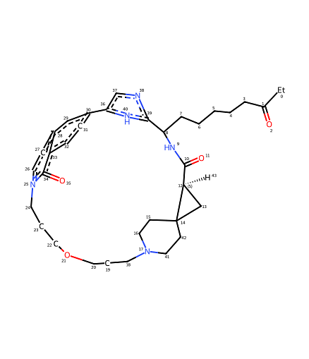 CCC(=O)CCCCCC1NC(=O)[C@H]2CC23CCN(CCCOCCCn2ccc4cc(ccc4c2=O)-c2cnc1[nH]2)CC3